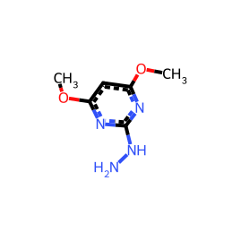 COc1cc(OC)nc(NN)n1